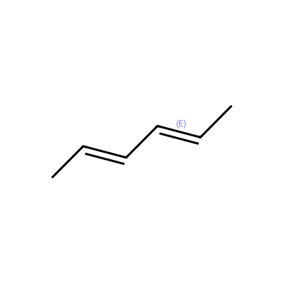 CC=C/C=C/C